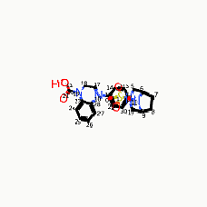 CS(=O)(=O)N1CC2CCC(C1)N2c1ccc(N2CCN(C(=O)O)c3ccccc32)cc1